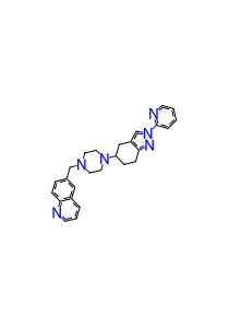 c1ccc(-n2cc3c(n2)CCC(N2CCN(Cc4ccc5ncccc5c4)CC2)C3)nc1